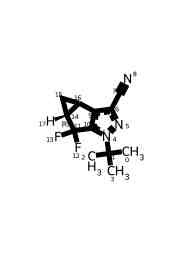 CC(C)(C)n1nc(C#N)c2c1C(F)(F)[C@@H]1CC21